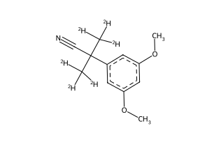 [2H]C([2H])([2H])C(C#N)(c1cc(OC)cc(OC)c1)C([2H])([2H])[2H]